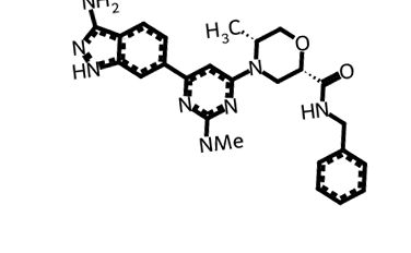 CNc1nc(-c2ccc3c(N)n[nH]c3c2)cc(N2C[C@@H](C(=O)NCc3ccccc3)OC[C@H]2C)n1